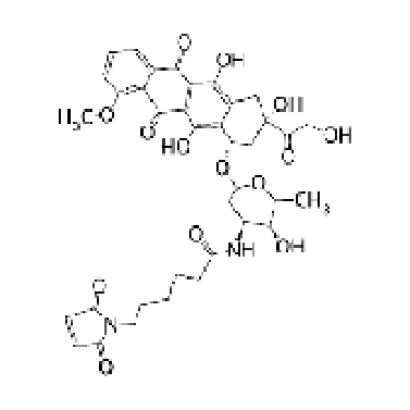 COc1cccc2c1C(=O)c1c(O)c3c(c(O)c1C2=O)C[C@@](O)(C(=O)CO)C[C@@H]3OC1C[C@H](NC(=O)CCCCCN2C(=O)C=CC2=O)[C@H](O)[C@H](C)O1